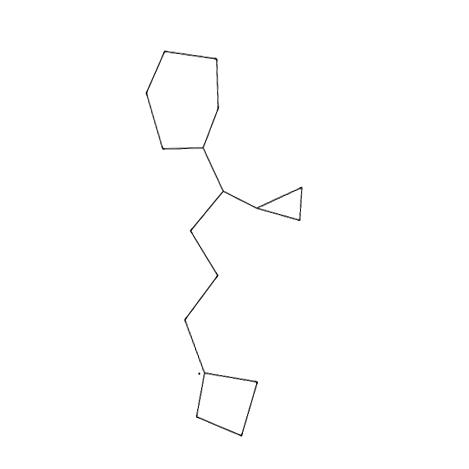 C1CCC(C(CCC[C]2CCC2)C2CC2)CC1